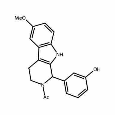 COc1ccc2[nH]c3c(c2c1)CCN(C(C)=O)C3c1cccc(O)c1